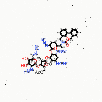 CC(=O)OC[C@H]1O[C@@H](O[C@@H]2[C@@H](OC(C)=O)[C@H](N=[N+]=[N-])C[C@H](N=[N+]=[N-])[C@H]2O[C@@H]2O[C@@H](C(C)N(Cc3ccccc3)C(=O)OCc3ccccc3)CC[C@@H]2N=[N+]=[N-])[C@H](OC(C)=O)[C@@H]1O[C@H]1O[C@@H](CN=[N+]=[N-])[C@H](O)[C@H](O)[C@H]1N=[N+]=[N-]